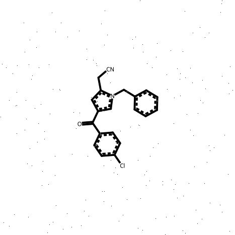 N#CCc1cc(C(=O)c2ccc(Cl)cc2)cn1Cc1ccccc1